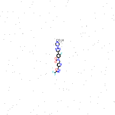 O=C(O)N1CCN(c2ncc(-c3cc4oc(=O)n(Cc5ccc(-c6nnc(C(F)F)o6)cn5)c4cc3F)cn2)CC1